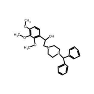 COc1ccc(C(O)CN2CCN(C(c3ccccc3)c3ccccc3)CC2)c(OC)c1OC